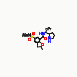 CCCC(NC(=O)c1cc(S(=O)(=O)NC)cc2c1OC(C)C2)C1CCCN1